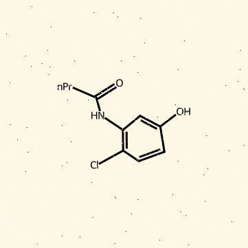 CCCC(=O)Nc1cc(O)ccc1Cl